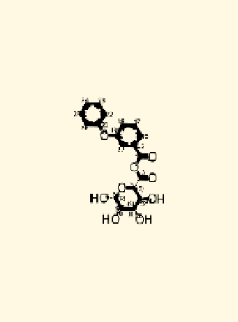 O=C(OC(=O)[C@H]1O[C@@H](O)[C@H](O)[C@@H](O)[C@@H]1O)c1cccc(Oc2ccccc2)c1